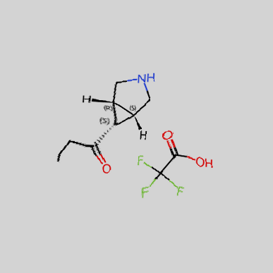 CCC(=O)[C@@H]1[C@@H]2CNC[C@@H]21.O=C(O)C(F)(F)F